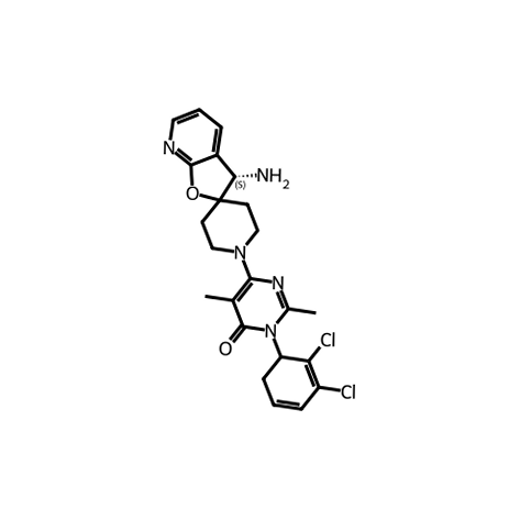 Cc1c(N2CCC3(CC2)Oc2ncccc2[C@@H]3N)nc(C)n(C2CC=CC(Cl)=C2Cl)c1=O